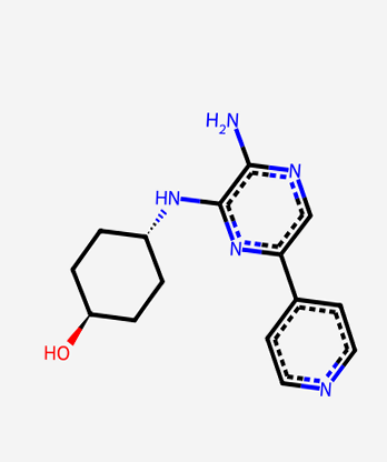 Nc1ncc(-c2ccncc2)nc1N[C@H]1CC[C@H](O)CC1